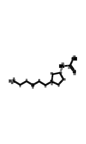 NCCOCCN1CC[C@@H](NC(=O)O)C1